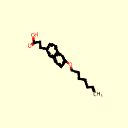 CCCCCCCOc1ccc2cc(CCC(=O)O)ccc2c1